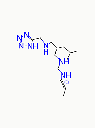 C/C=C/NCNCC(CNCc1nnn[nH]1)CC(C)C